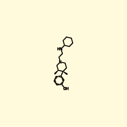 C[C@H]1CN(CCNC2CCCCC2)CC[C@]1(C)c1cccc(O)c1